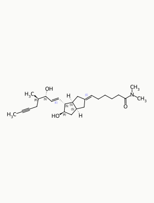 CC#CC[C@@H](C)[C@H](O)/C=C/[C@@H]1[C@H]2C/C(=C/CCCCC(=O)N(C)C)C[C@H]2C[C@H]1O